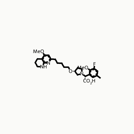 COc1cc(CCCCCO[C@@H]2CCN([C@@H](C(=O)O)c3cc(C)cc(F)c3OC)C2)nc2c1CCCN2